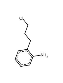 Nc1ccccc1CCCCl